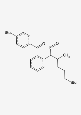 CCC(C)CCCC(C)C(P=O)c1ccccc1C(=O)c1ccc(C(C)(C)C)cc1